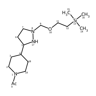 CC(=O)N1CCC(C2CCN(COCC[Si](C)(C)C)N2)CC1